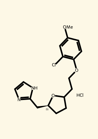 COc1ccc(OCCC2CC[C@@H](Cc3ncc[nH]3)O2)c(Cl)c1.Cl